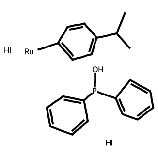 Cc1ccc(C(C)C)cc1.I.I.OP(c1ccccc1)c1ccccc1.[Ru]